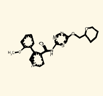 COc1ccccc1-c1cnccc1C(=O)Nc1nnc(OCC2CCCCO2)s1